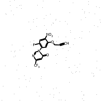 C#CCOc1cc(-n2cnc(C(F)(F)F)cc2=O)c(F)cc1[N+](=O)[O-]